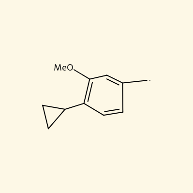 [CH2]c1ccc(C2CC2)c(OC)c1